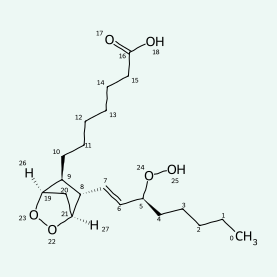 CCCCC[C@@H](/C=C/[C@H]1[C@H](CCCCCCC(=O)O)[C@H]2C[C@@H]1OO2)OO